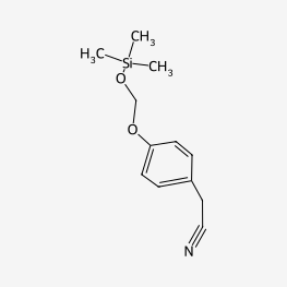 C[Si](C)(C)OCOc1ccc(CC#N)cc1